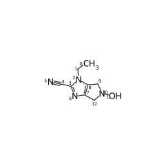 CCn1c(C#N)nc2c1CN(O)C2